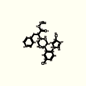 CC(C)(C)OC(=O)C(Cc1ccncc1)N1CON(c2cc(Cl)ccc2-n2cc(Cl)nn2)CO1